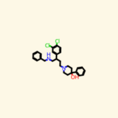 OC1(c2ccccc2)CCN(CCC(CNCc2ccccc2)c2ccc(Cl)c(Cl)c2)CC1